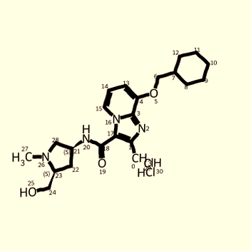 Cc1nc2c(OCC3CCCCC3)cccn2c1C(=O)N[C@H]1C[C@@H](CO)N(C)C1.Cl.Cl